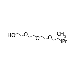 CC(C)C(C)COCCOCCOCCO